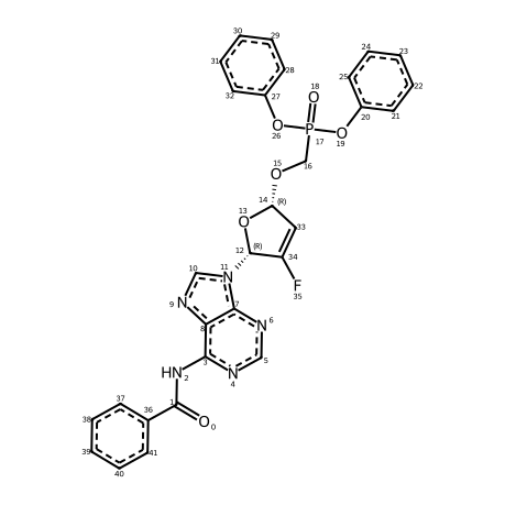 O=C(Nc1ncnc2c1ncn2[C@@H]1O[C@H](OCP(=O)(Oc2ccccc2)Oc2ccccc2)C=C1F)c1ccccc1